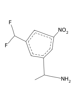 CC(N)c1cc(C(F)F)cc([N+](=O)[O-])c1